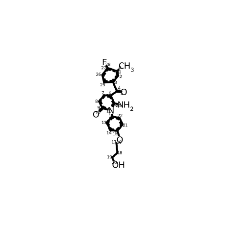 Cc1cc(C(=O)c2ccc(=O)n(-c3ccc(OCCCO)cc3)c2N)ccc1F